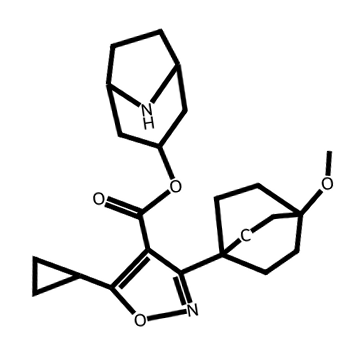 COC12CCC(c3noc(C4CC4)c3C(=O)OC3CC4CCC(C3)N4)(CC1)CC2